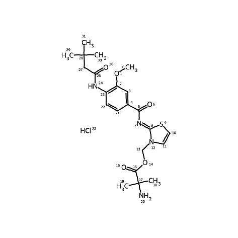 COc1cc(C(=O)N=c2sccn2COC(=O)C(C)(C)N)ccc1NC(=O)CC(C)(C)C.Cl